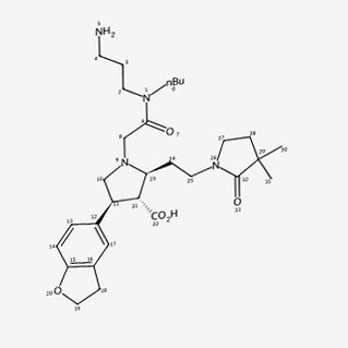 CCCCN(CCCN)C(=O)CN1C[C@H](c2ccc3c(c2)CCO3)[C@@H](C(=O)O)[C@@H]1CCN1CCC(C)(C)C1=O